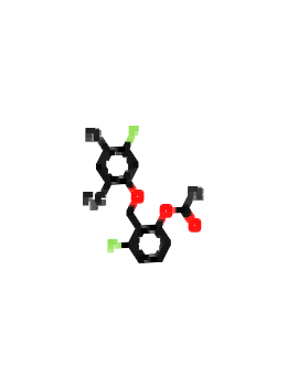 CCC(=O)Oc1cccc(F)c1COc1cc(F)c(CC)cc1C(F)(F)F